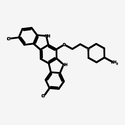 NC1CCN(CCOc2c3[nH]c4ccc(Cl)cc4c3cc3c2[nH]c2ccc(Cl)cc23)CC1